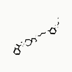 COCS(=O)(=O)c1cccc(OC[C@@H](O)CN[C@H]2COC3(CCN(S(=O)(=O)c4c[nH]c5ccccc45)CC3)C2)c1